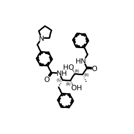 C[C@@H](C(=O)NCc1ccccc1)[C@@H](O)[C@H](O)[C@H](Cc1ccccc1)NC(=O)c1ccc(CN2CCCC2)cc1